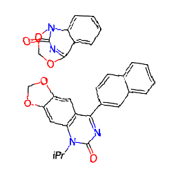 CC(C)n1c(=O)nc(-c2ccc3ccccc3c2)c2cc3c(cc21)OCO3.O=c1nc2c3ccccc3n1OCO2